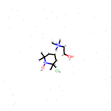 CC1(C)CCCC(C)(C)N1[O].C[N+](C)(C)CCO.[Cl-]